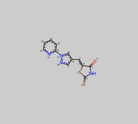 O=C1NC(=S)S/C1=C\c1cnn(-c2ccccn2)c1